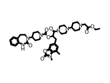 CCOC(=O)CN1CCC(N2CCN(C(=O)C(Cc3cc(C)c4c(c3)oc(=O)n4C)OC(=O)N3CCC(N4CCc5ccccc5NC4=O)CC3)CC2)CC1